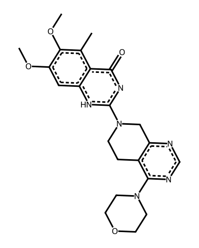 COc1cc2[nH]c(N3CCc4c(ncnc4N4CCOCC4)C3)nc(=O)c2c(C)c1OC